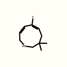 CC1(C)C/C=C(F)\C=C/CNC1